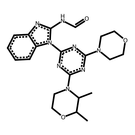 CC1OCCN(c2nc(N3CCOCC3)nc(-n3c(NC=O)nc4ccccc43)n2)C1C